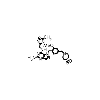 COc1cc(CN2CCS(=O)(=O)CC2)ccc1Cn1ncc2nc(N)nc(NCc3noc(C)n3)c21